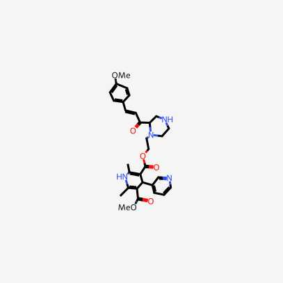 COC(=O)C1=C(C)NC(C)=C(C(=O)OCCN2CCNCC2C(=O)C=Cc2ccc(OC)cc2)C1c1cccnc1